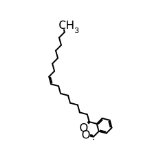 CCCCCCCC/C=C\CCCCCCCC(=O)c1ccccc1[C]=O